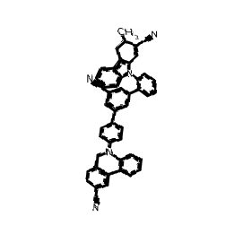 CC1Cc2c(n(-c3ccccc3-c3cc(C#N)cc(-c4ccc(N5Cc6ccc(C#N)cc6-c6ccccc65)cc4)c3)c3ccccc23)C=C1C#N